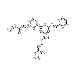 C=CC(=O)OCCNC(=O)OC(COc1ccccc1)COc1cccc(COC(=O)C=C)c1